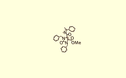 COC(=O)[C@@H]1[C@H](C(=O)N(C)[C@@H](C)c2ccccc2)N(Cc2ccccc2)C(=O)N1Cc1ccccc1